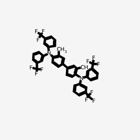 Cc1cc(-c2ccc(N(c3cccc(C(F)(F)F)c3)c3cccc(C(F)(F)F)c3)c(C)c2)ccc1N(c1cccc(C(F)(F)F)c1)c1cccc(C(F)(F)F)c1